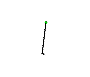 CCCCCCCCCCCCCCCCCCCCCCCCCCCCCCCCCCCCCCCC[Si](Cl)(Cl)Cl